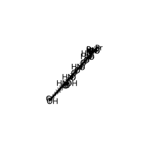 O=C(O)CCCCCCCCCCCCCCC(=O)N[C@@H](CCCCNC(=O)CCOCCOCCNC(=O)CCOCCOCCNC(=O)[C@H](CCCNC(=O)CBr)NC(=O)CBr)C(=O)O